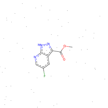 COC(=O)c1n[nH]c2ncc(F)cc12